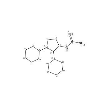 N=C(N)NC1CCN(C2CCCCC2)C1C1CCCCC1